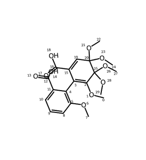 COC1=C(c2c(OC)cccc2C(=O)O)C(C(=O)O)=CC(OC)(OC)C1(OC)OC